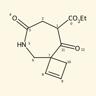 CCOC(=O)C1CC(=O)NCC2(C=CC2)C1=O